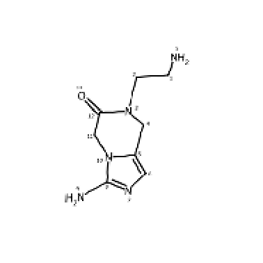 NCCN1Cc2cnc(N)n2CC1=O